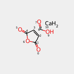 O=C1C=CC(=O)O1.O=CO.[CaH2]